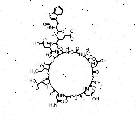 CCC(C)C1NC(=O)C(CCC(=O)O)NC(=O)C(CC(N)=O)NC(=O)CNC(=O)C(CC(=O)O)NC(=O)C(C)NC(=O)C(CC(=O)O)NC(=O)C(C)NC(=O)CNC(=O)C(NC(=O)C(CC(=O)O)NC(=O)C(CCC(=O)O)NC(=O)C(Cc2c[nH]c3ccccc23)NC=O)C(C)OC1=O